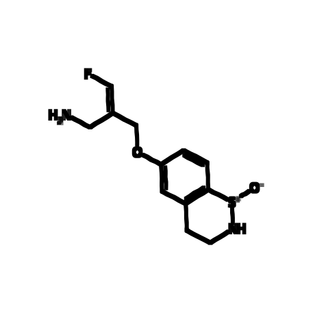 NC/C(=C\F)COc1ccc2c(c1)CCN[S+]2[O-]